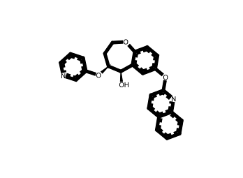 O[C@@H]1c2cc(Oc3ccc4ccccc4n3)ccc2OCC[C@@H]1Oc1cccnc1